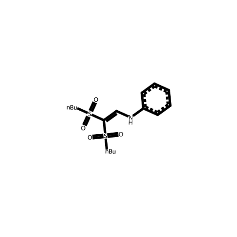 CCCCS(=O)(=O)C(=CNc1ccccc1)S(=O)(=O)CCCC